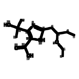 CCOC(CC)Cc1nc(C(C)(C)O)c(C(=O)O)[nH]1